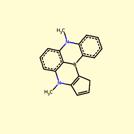 CN1C2=C(CC=C2)B2c3ccccc3N(C)c3cccc1c32